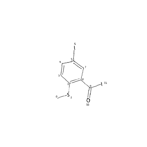 CSc1ccc(I)cc1C(=O)I